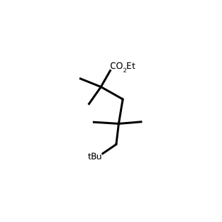 CCOC(=O)C(C)(C)CC(C)(C)CC(C)(C)C